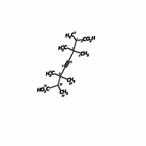 CC(C(=O)O)C(C)(C)C#CC(C)(C)C(C)C(=O)O